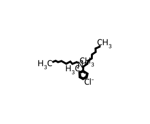 CCCCCCCCC(c1ccccc1)[N+](C)(C)CCCCCCCC.[Cl-]